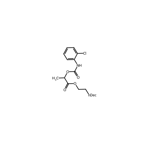 CCCCCCCCCCCCOC(=O)C(C)OC(=O)Nc1ccccc1Cl